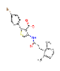 Cc1cccc(C)c1CCC(=O)Nc1csc(-c2ccc(Br)cc2)c1C(=O)O